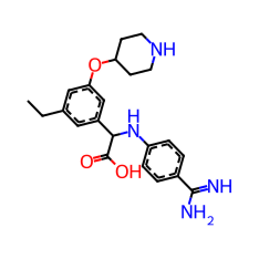 CCc1cc(OC2CCNCC2)cc(C(Nc2ccc(C(=N)N)cc2)C(=O)O)c1